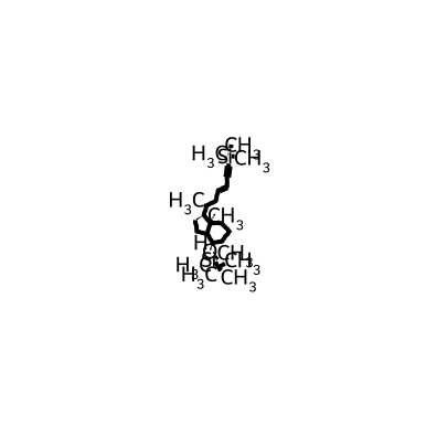 C[C@H](CC=CC#C[Si](C)(C)C)[C@H]1CC[C@H]2[C@@H](O[Si](C)(C)C(C)(C)C)CCC[C@]12C